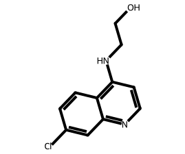 OCCNc1ccnc2cc(Cl)ccc12